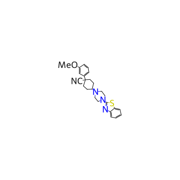 COc1cccc(C2(C#N)CCC(N3CCN(c4nc5ccccc5s4)CC3)CC2)c1